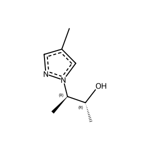 Cc1cnn([C@H](C)[C@@H](C)O)c1